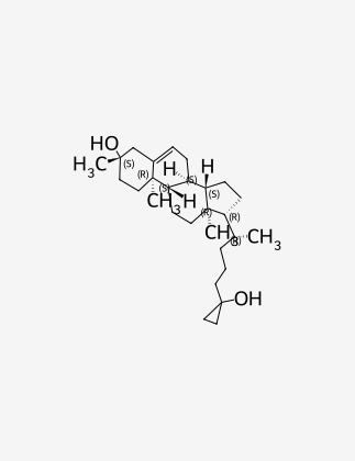 C[C@H](CCCC1(O)CC1)[C@H]1CC[C@H]2[C@@H]3CC=C4C[C@@](C)(O)CC[C@]4(C)[C@H]3CC[C@]12C